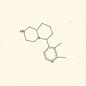 Cc1nccc(C2CCCC3CNCCN32)c1C